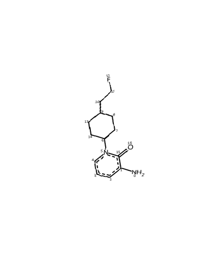 Nc1cccn(C2CCC(CCF)CC2)c1=O